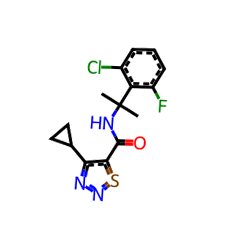 CC(C)(NC(=O)c1snnc1C1CC1)c1c(F)cccc1Cl